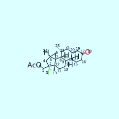 CC(=O)OC[C@]1(F)C[C@@H]2C[C@]23[C@H]2[C@H](CC[C@]13C)[C@H]1CCC(=O)C=C1C[C@H]2C